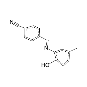 Cc1ccc(O)c(N=Cc2ccc(C#N)cc2)c1